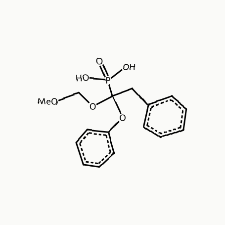 COCOC(Cc1ccccc1)(Oc1ccccc1)P(=O)(O)O